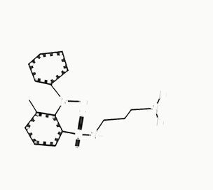 CCN(CC)CCCNS(=O)(=O)c1cccc(C)c1N(CC)c1ccccc1